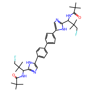 CC(C)(C)C(=O)NC(c1ncc(-c2ccc(-c3ccc(-c4cnc(C(NC(=O)C(C)(C)C)C(C)(C)CF)[nH]4)cc3)cc2)[nH]1)C(C)(C)CF